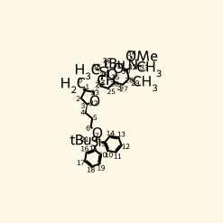 C=C1C[C@H](CCCO[Si](c2ccccc2)(c2ccccc2)C(C)(C)C)O[C@H]1CCC(C[C@@H](C)C(=O)N(C)OC)O[Si](C)(C)C(C)(C)C